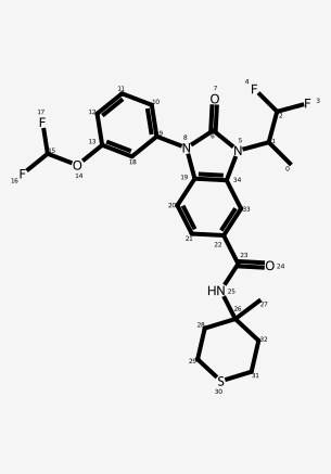 CC(C(F)F)n1c(=O)n(-c2cccc(OC(F)F)c2)c2ccc(C(=O)NC3(C)CCSCC3)cc21